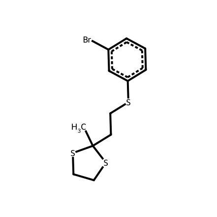 CC1(CCSc2cccc(Br)c2)SCCS1